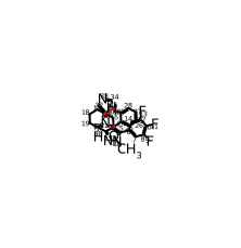 Cn1nc2c(c1-c1cc(F)c(F)c(F)c1)C[C@@H]1CCC[C@H]2N1C(=O)c1ccccc1-n1ccnc1